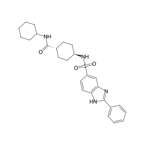 O=C(NC1CCCCC1)[C@H]1CC[C@H](NS(=O)(=O)c2ccc3[nH]c(-c4ccccc4)nc3c2)CC1